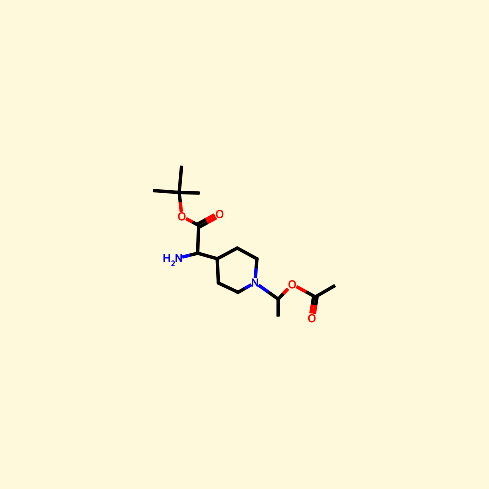 CC(=O)OC(C)N1CCC(C(N)C(=O)OC(C)(C)C)CC1